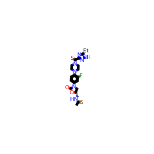 CCc1nc(C(=S)N2CCN(c3ccc(N4C[C@H](CNC(C)=S)OC4=O)cc3F)CC2)n[nH]1